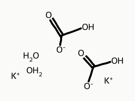 O.O.O=C([O-])O.O=C([O-])O.[K+].[K+]